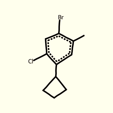 Cc1cc(C2CCC2)c(Cl)cc1Br